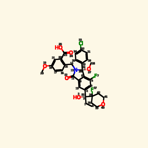 CC[C@@](O)(c1cc(F)c2c(c1)C(=O)N(Cc1ccc(OC)cc1C(=O)O)[C@@]2(OC)c1ccc(Cl)cc1)C1(F)CCOCC1